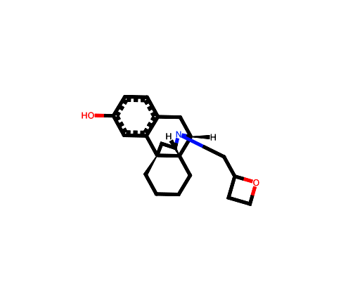 Oc1ccc2c(c1)[C@@]13CCCC[C@H]1[C@@H](C2)N(CC1CCO1)CC3